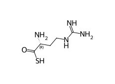 N=C(N)NCC[C@@H](N)C(=O)S